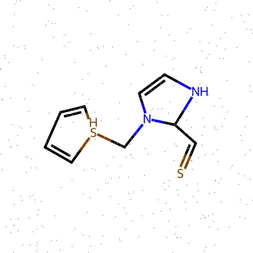 S=CC1NC=CN1C[SH]1C=CC=C1